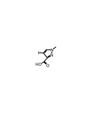 Cn1cc(I)c(C(=O)O)n1